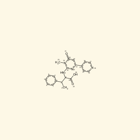 CC(c1ccccc1)C(Nc1nc(-c2ccncc2)cc(=O)n1C)C(=O)O